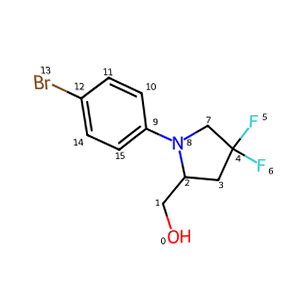 OCC1CC(F)(F)CN1c1ccc(Br)cc1